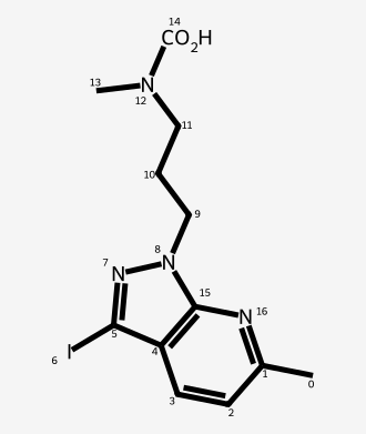 Cc1ccc2c(I)nn(CCCN(C)C(=O)O)c2n1